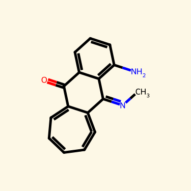 C/N=C1/C2=C=CC=CC=C2C(=O)c2cccc(N)c21